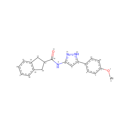 CC(C)Oc1ccc(-c2cc(NC(=O)C3Cc4ccccc4C3)n[nH]2)cc1